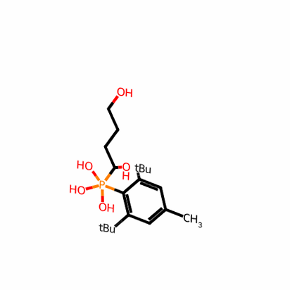 Cc1cc(C(C)(C)C)c(P(O)(O)(O)C(O)CCCO)c(C(C)(C)C)c1